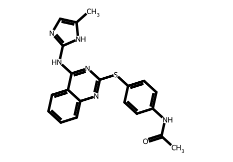 CC(=O)Nc1ccc(Sc2nc(Nc3ncc(C)[nH]3)c3ccccc3n2)cc1